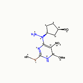 CCCSC1=NC(N(N)[C@H]2CC[C@@H](N=O)C2)=C([N+](=O)[O-])C(OC)N1